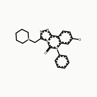 O=c1n(-c2ccccc2)c2cc(Cl)ccc2c2nnc(CN3CCCCC3)n12